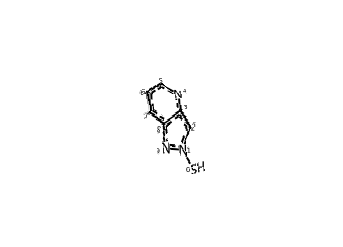 Sn1cc2ncccc2n1